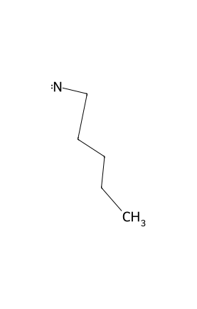 CCCCC[N]